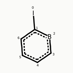 Ic1bcccc1